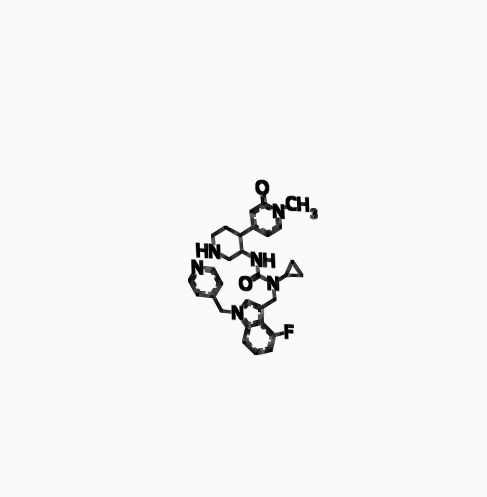 Cn1ccc(C2CCNCC2NC(=O)N(Cc2cn(Cc3ccncc3)c3cccc(F)c23)C2CC2)cc1=O